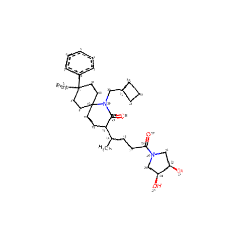 CCCC(C)C1(c2ccccc2)CCC2(CCC(C(C)CCC(=O)N3C[C@@H](O)[C@@H](O)C3)C(=O)N2CC2CCC2)CC1